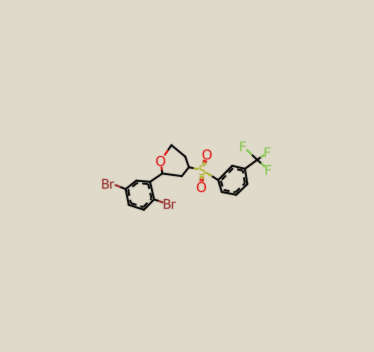 O=S(=O)(c1cccc(C(F)(F)F)c1)C1CCOC(c2cc(Br)ccc2Br)C1